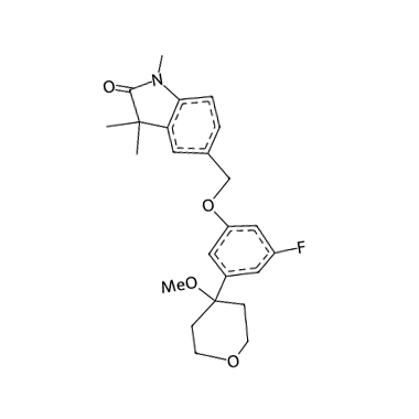 COC1(c2cc(F)cc(OCc3ccc4c(c3)C(C)(C)C(=O)N4C)c2)CCOCC1